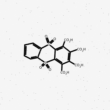 O=C(O)c1c(C(=O)O)c(C(=O)O)c2c(c1C(=O)O)S(=O)(=O)c1ccccc1S2(=O)=O